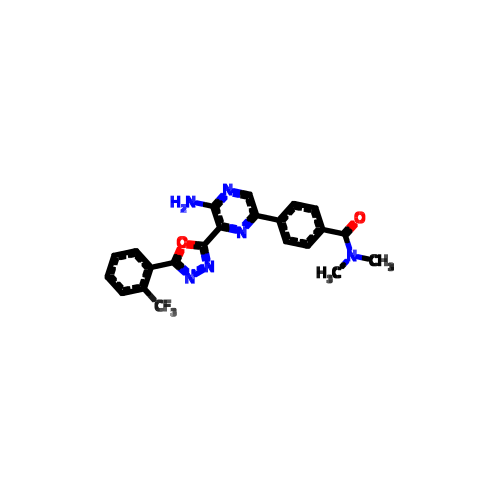 CN(C)C(=O)c1ccc(-c2cnc(N)c(-c3nnc(-c4ccccc4C(F)(F)F)o3)n2)cc1